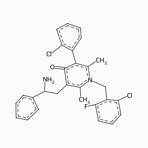 Cc1c(CC(N)c2ccccc2)c(=O)c(-c2ccccc2Cl)c(C)n1Cc1c(F)cccc1Cl